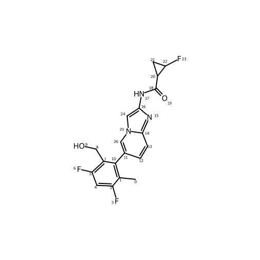 Cc1c(F)cc(F)c(CO)c1-c1ccc2nc(NC(=O)C3CC3F)cn2c1